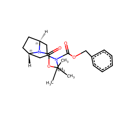 CN(C(=O)OCc1ccccc1)C1C[C@@H]2CC[C@@H](C1)N2C(=O)OC(C)(C)C